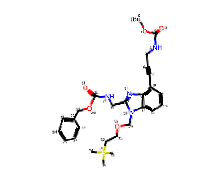 CC(C)(C)OC(=O)NCC#Cc1cccc2c1nc(CNC(=O)OCc1ccccc1)n2COCCS(C)(C)C